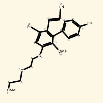 COCCOCCOc1cc(C(C)C)c(C=CC#N)c(-c2ccc(F)cc2)c1OC